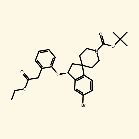 CCOC(=O)Cc1ccccc1O[C@H]1CC2(CCN(C(=O)OC(C)(C)C)CC2)c2ccc(Br)cc21